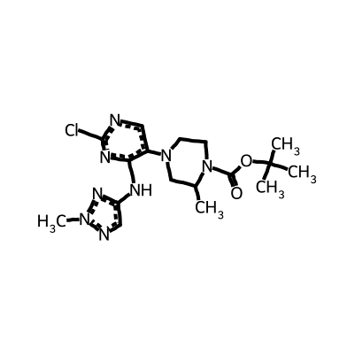 CC1CN(c2cnc(Cl)nc2Nc2cnn(C)n2)CCN1C(=O)OC(C)(C)C